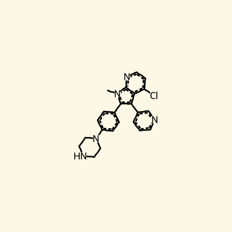 Cn1c(-c2ccc(N3CCNCC3)cc2)c(-c2cccnc2)c2c(Cl)ccnc21